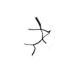 CC(C(F)(F)F)C1(C)CC1(C(F)(F)F)C(F)(F)F